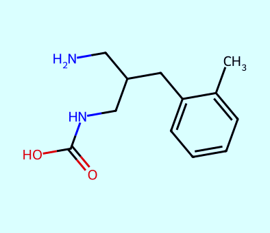 Cc1ccccc1CC(CN)CNC(=O)O